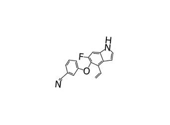 C=Cc1c(Oc2cccc(C#N)c2)c(F)cc2[nH]ccc12